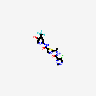 CC(NC(=O)c1ncncc1Cl)c1ncc(C(=O)Nc2cc(C(F)(F)F)c(O)cn2)s1